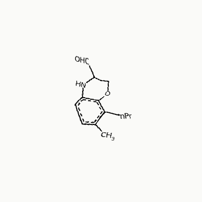 CCCc1c(C)ccc2c1OCC(C=O)N2